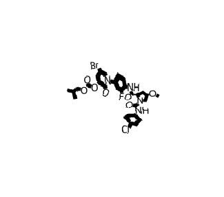 CO[C@@H]1C[C@H](C(=O)Nc2ccc(-n3cc(Br)cc(OC(=O)OCC(C)C)c3=O)cc2F)N(C(=O)Nc2ccc(Cl)cc2)C1